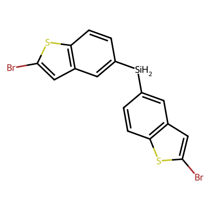 Brc1cc2cc([SiH2]c3ccc4sc(Br)cc4c3)ccc2s1